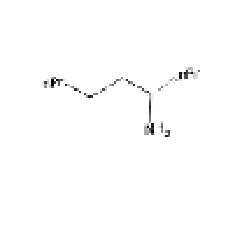 C[CH]C[C@H](N)CCCCC